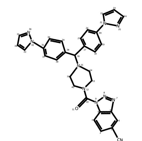 N#Cc1ccc2c(c1)nnn2C(=O)N1CCN(C(c2ccc(-n3cccn3)cc2)c2ccc(-n3cccn3)cc2)CC1